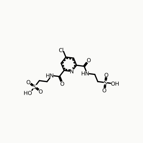 O=C(NCCS(=O)(=O)O)c1cc(Cl)cc(C(=O)NCCS(=O)(=O)O)n1